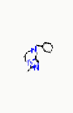 Cc1ncc2n1CCCN(CC1CCCCC1)C2